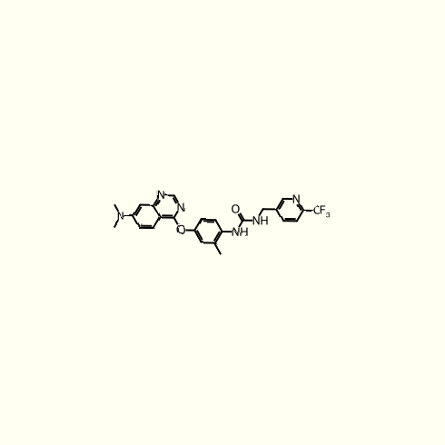 Cc1cc(Oc2ncnc3cc(N(C)C)ccc23)ccc1NC(=O)NCc1ccc(C(F)(F)F)nc1